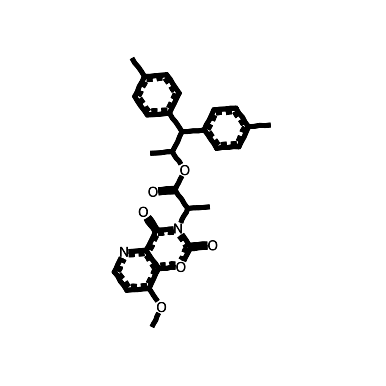 COc1ccnc2c(=O)n(C(C)C(=O)OC(C)C(c3ccc(C)cc3)c3ccc(C)cc3)c(=O)oc12